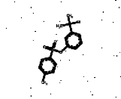 CCC(C)(C)c1cccc(OS(=O)(=O)c2ccc(C)cc2)c1